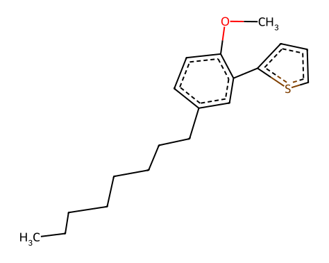 CCCCCCCCc1ccc(OC)c(-c2cccs2)c1